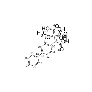 COC(C(=O)O)(C(C(=O)O)c1ccc(-c2ccccc2)cc1)P(=O)(O)O